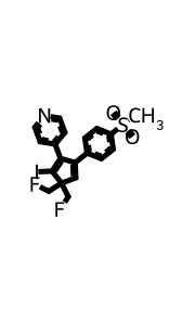 CS(=O)(=O)c1ccc(C2=CC(CF)(CF)C(I)=C2c2ccncc2)cc1